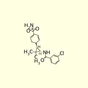 CC1(C)[C@@H](NC(=O)c2cccc(Cl)c2)[C@@H]1C1C=CC(S(N)(=O)=O)=CC1